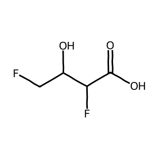 O=C(O)C(F)C(O)CF